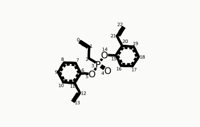 C=CCP(=O)(Oc1ccccc1C=C)Oc1ccccc1C=C